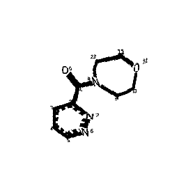 O=C(c1cccnn1)N1CCOCC1